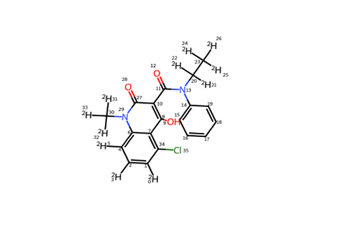 [2H]c1c([2H])c([2H])c2c(c(O)c(C(=O)N(c3ccccc3)C([2H])([2H])C([2H])([2H])[2H])c(=O)n2C([2H])([2H])[2H])c1Cl